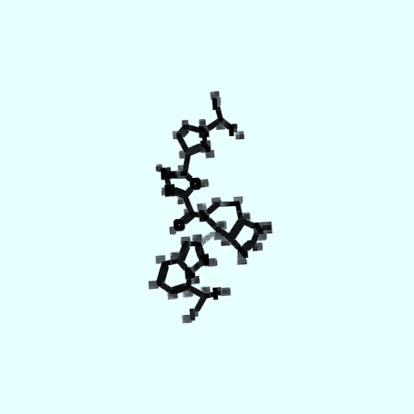 O=C(c1nnc(-c2ccn(C(F)F)n2)o1)N1CCc2[nH]cnc2[C@@H]1c1cc2cccc(C(F)F)n2n1